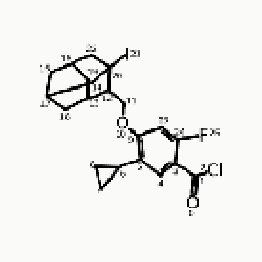 O=C(Cl)c1cc(C2CC2)c(OCC2C3CC4CC(C3)CC2(I)C4)cc1F